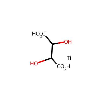 O=C(O)C(O)C(O)C(=O)O.[Ti]